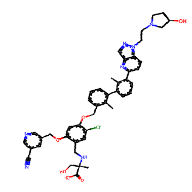 Cc1c(COc2cc(OCc3cncc(C#N)c3)c(CN[C@@](C)(CO)C(=O)O)cc2Cl)cccc1-c1cccc(-c2ccc3c(cnn3CCN3CC[C@@H](O)C3)n2)c1C